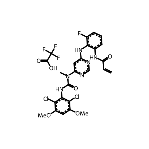 C=CC(=O)Nc1cccc(F)c1Nc1cc(N(C)C(=O)Nc2c(Cl)c(OC)cc(OC)c2Cl)ncn1.O=C(O)C(F)(F)F